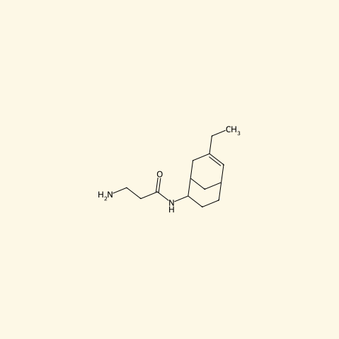 CCC1=CC2CCC(NC(=O)CCN)C(C1)C2